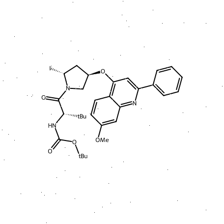 COc1ccc2c(O[C@@H]3C[C@@H](I)N(C(=O)[C@@H](NC(=O)OC(C)(C)C)C(C)(C)C)C3)cc(-c3ccccc3)nc2c1